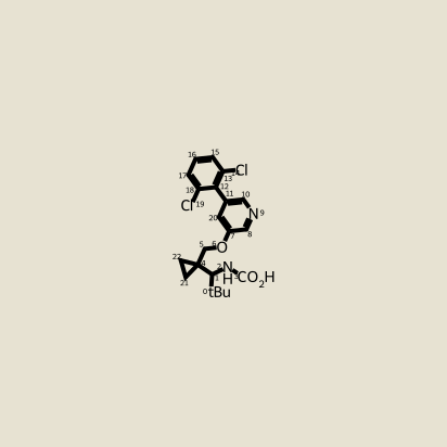 CC(C)(C)C(NC(=O)O)C1(COc2cncc(-c3c(Cl)cccc3Cl)c2)CC1